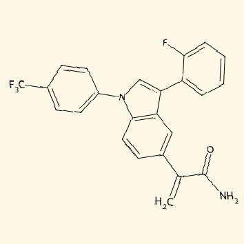 C=C(C(N)=O)c1ccc2c(c1)c(-c1ccccc1F)cn2-c1ccc(C(F)(F)F)cc1